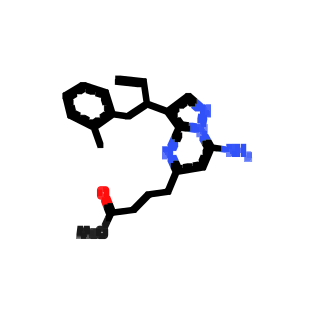 C=CC(Cc1ccccc1C)c1cnn2c(N)cc(CCCC(=O)OC)nc12